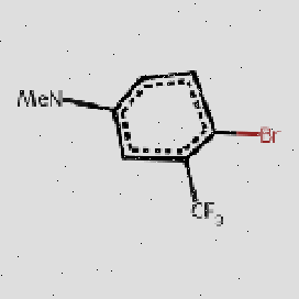 [CH2]Nc1ccc(Br)c(C(F)(F)F)c1